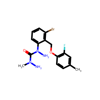 Cc1ccc(OCc2c(Br)cccc2N(N)C(=O)N(C)N)c(F)c1